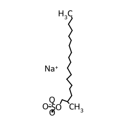 CCCCCCCCCCCCCCCCC(C)COS(=O)(=O)[O-].[Na+]